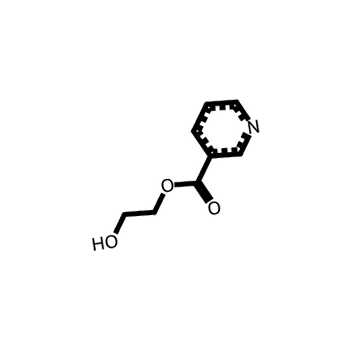 O=C(OCCO)c1cccnc1